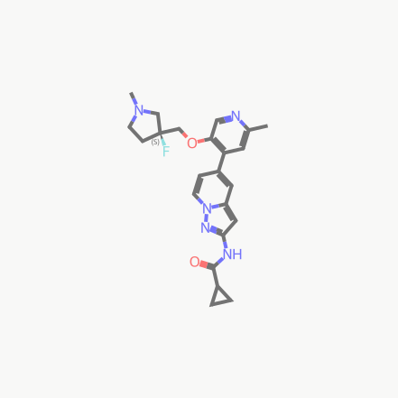 Cc1cc(-c2ccn3nc(NC(=O)C4CC4)cc3c2)c(OC[C@]2(F)CCN(C)C2)cn1